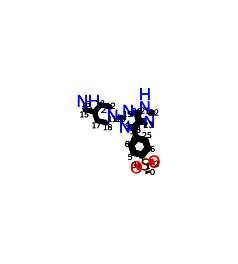 CS(=O)(=O)c1ccc(-c2nc(N3CCC(CN)CC3)nc3[nH]cnc23)cc1